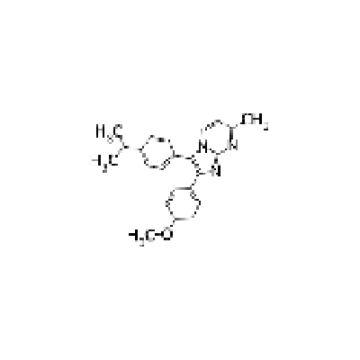 COc1ccc(-c2nc3nc(C)ccn3c2-c2ccc(C(C)C)cc2)cc1